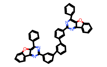 c1ccc(-c2nc(-c3cccc(-c4cccc(-c5cccc(-c6nc(-c7ccccc7)c7oc8ccccc8c7n6)c5)c4)c3)nc3c2oc2ccccc23)cc1